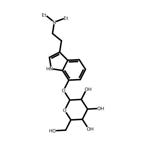 CCN(CC)CCc1c[nH]c2c(OC3OC(CO)C(O)C(O)C3O)cccc12